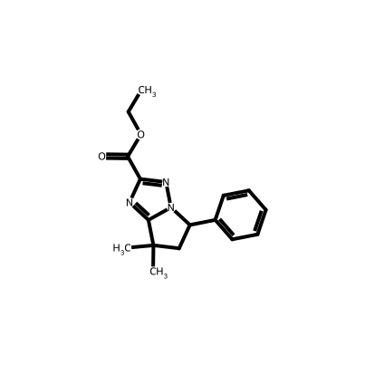 CCOC(=O)c1nc2n(n1)C(c1ccccc1)CC2(C)C